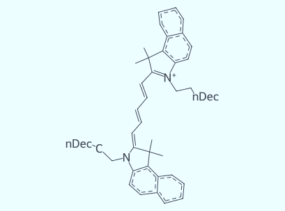 CCCCCCCCCCCCN1/C(=C/C=C/C=C/C2=[N+](CCCCCCCCCCCC)c3ccc4ccccc4c3C2(C)C)C(C)(C)c2c1ccc1ccccc21